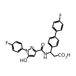 O=C(O)CC(NC(=O)c1cc(O)n(-c2ccc(F)cc2)n1)c1ccc(-c2ccc(F)cc2)cc1